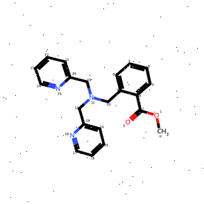 COC(=O)c1ccccc1CN(Cc1ccccn1)Cc1ccccn1